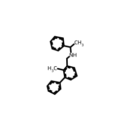 Cc1c(CNC(C)c2ccccc2)cccc1-c1ccccc1